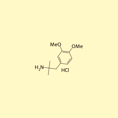 COc1ccc(CC(C)(C)N)cc1OC.Cl